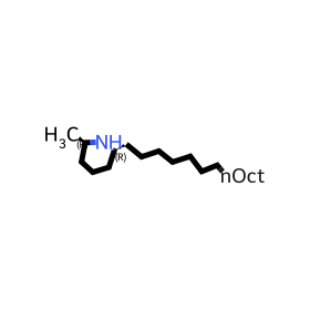 CCCCCCCCCCCCCCC[C@@H]1CCC[C@@H](C)N1